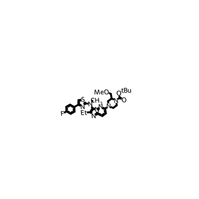 CCc1nc2ccc(N3CCN(C(=O)OC(C)(C)C)C(COC)C3)nn2c1N(C)c1nc(-c2ccc(F)cc2)cs1